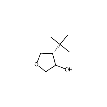 CC(C)(C)[C@H]1COCC1O